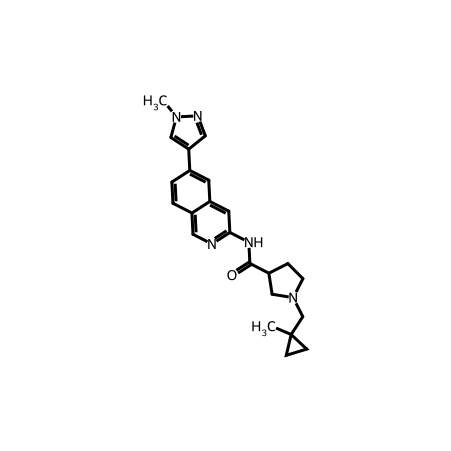 Cn1cc(-c2ccc3cnc(NC(=O)C4CCN(CC5(C)CC5)C4)cc3c2)cn1